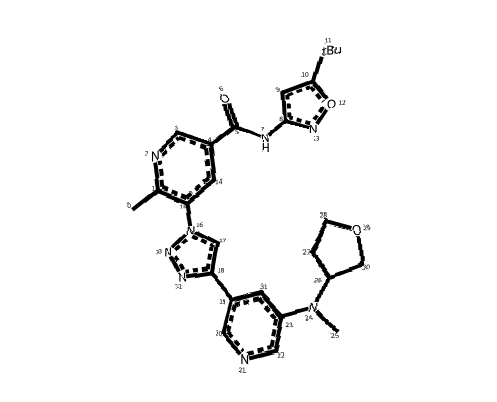 Cc1ncc(C(=O)Nc2cc(C(C)(C)C)on2)cc1-n1cc(-c2cncc(N(C)C3CCOC3)c2)nn1